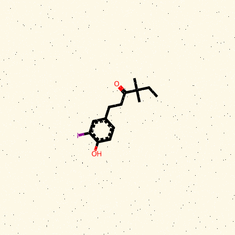 CCC(C)(C)C(=O)CCc1ccc(O)c(I)c1